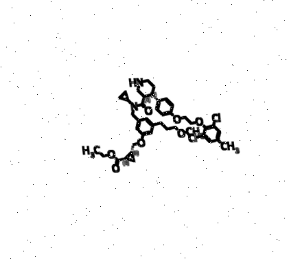 CCOC(=O)[C@@H]1C[C@H]1COc1cc(CCCOC)cc(CN(C(=O)[C@H]2CNCC[C@@H]2c2ccc(OCCOc3c(Cl)cc(C)cc3Cl)cc2)C2CC2)c1